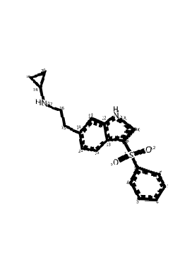 O=S(=O)(c1ccccc1)c1c[nH]c2cc(CCNC3CC3)ccc12